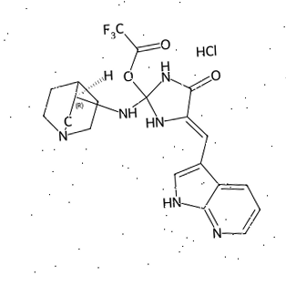 Cl.O=C1NC(N[C@H]2CN3CCC2CC3)(OC(=O)C(F)(F)F)NC1=Cc1c[nH]c2ncccc12